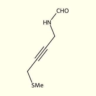 CSCC#CCNC=O